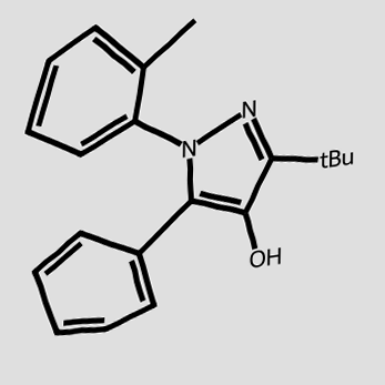 Cc1ccccc1-n1nc(C(C)(C)C)c(O)c1-c1ccccc1